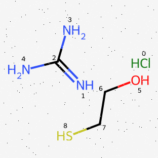 Cl.N=C(N)N.OCCS